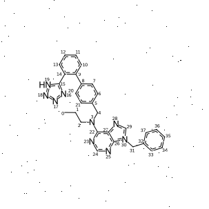 CCCN(Cc1ccc(-c2ccccc2-c2nnn[nH]2)cc1)c1ncnc2c1ncn2Cc1ccccc1